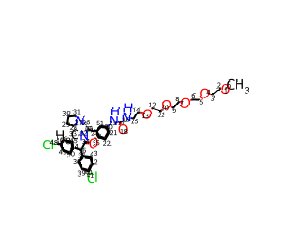 COCCOCCOCCOCCOCCNC(=O)Nc1cccc([C@@H](CN2CCCC2)N(C)C(=O)C(c2ccc(Cl)cc2)c2ccc(Cl)cc2)c1